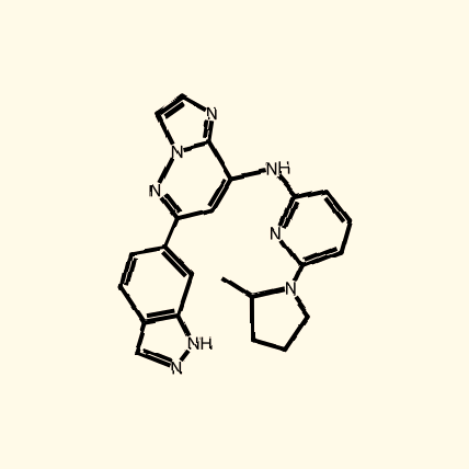 CC1CCCN1c1cccc(Nc2cc(-c3ccc4cn[nH]c4c3)nn3ccnc23)n1